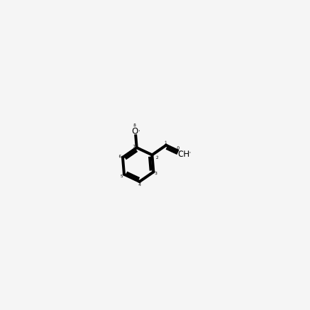 [CH]=Cc1ccccc1[O]